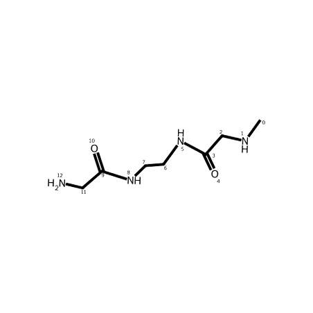 CNCC(=O)NCCNC(=O)CN